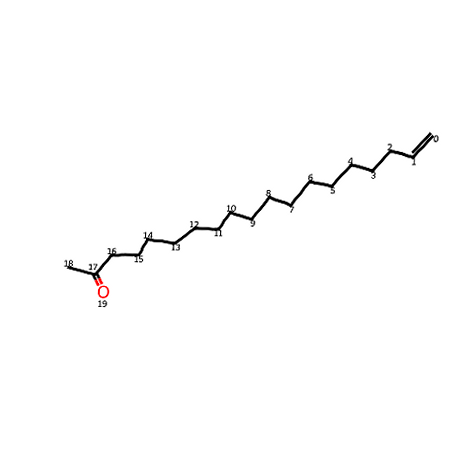 C=CCCCCCCCCCCCCCCCC(C)=O